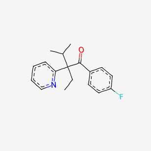 CCC(C(=O)c1ccc(F)cc1)(c1ccccn1)C(C)C